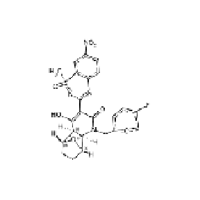 CS1(=O)=NC(C2=C(O)[C@H]3[C@H]([C@@H]4CC[C@H]3O4)N(Cc3ccc(F)cc3)C2=O)=Nc2ccc([N+](=O)[O-])cc21